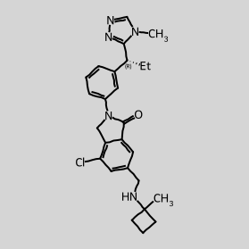 CC[C@H](c1cccc(N2Cc3c(Cl)cc(CNC4(C)CCC4)cc3C2=O)c1)c1nncn1C